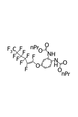 CCCOC(=O)Nc1ccc(OC(F)=C(F)C(F)(F)C(F)(F)C(F)(F)C(F)(F)F)cc1NC(=O)OCCC